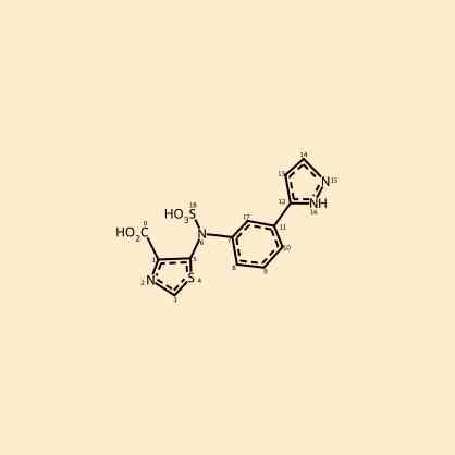 O=C(O)c1ncsc1N(c1cccc(-c2ccn[nH]2)c1)S(=O)(=O)O